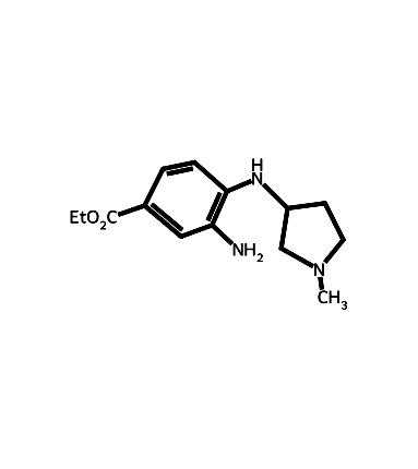 CCOC(=O)c1ccc(NC2CCN(C)C2)c(N)c1